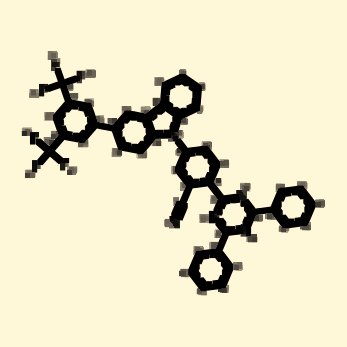 N#Cc1cc(-n2c3ccccc3c3cc(-c4cc(C(F)(F)F)cc(C(F)(F)F)c4)ccc32)ccc1-c1nc(-c2ccccc2)nc(-c2ccccc2)n1